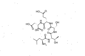 CC(C)C[C@H](N)C(=O)N[C@H](C(=O)N[C@@H](CO)C(=O)N[C@@H](CCC(=O)O)C(=O)N[C@@H](CC(=O)O)C(=O)O)[C@@H](C)O